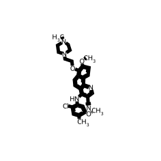 COc1cc(Nc2c(C#N)cnc3c2ccc2c(OCCN4CCN(C)CC4)c(OC)ccc23)c(Cl)cc1C